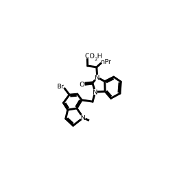 CCCC(CC(=O)O)n1c(=O)n(Cc2cc(Br)cc3ccn(C)c23)c2ccccc21